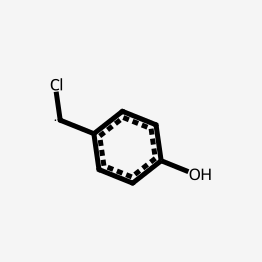 Oc1ccc([CH]Cl)cc1